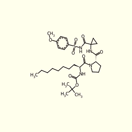 CCCCCCCC[C@H](NC(=O)OC(C)(C)C)C(=O)N1CCC[C@H]1C(=O)NC1(C(=O)NS(=O)(=O)c2ccc(OC)cc2)CC1